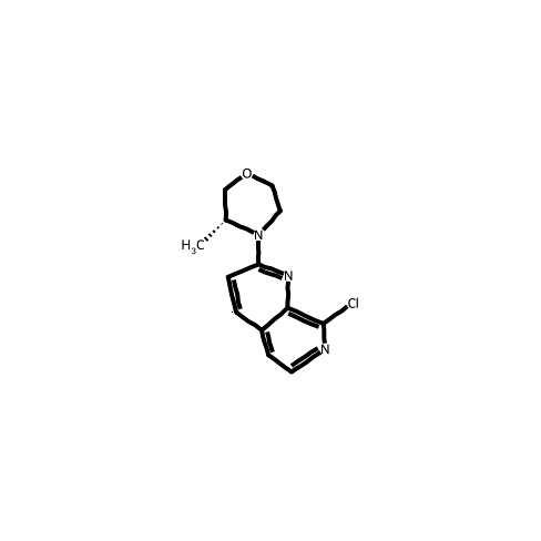 C[C@@H]1COCCN1c1c[c]c2ccnc(Cl)c2n1